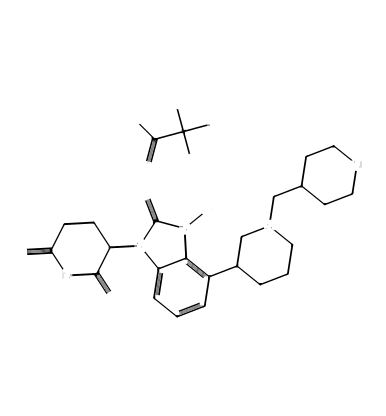 Cn1c(=O)n(C2CCC(=O)NC2=O)c2cccc(C3CCCN(CC4CCNCC4)C3)c21.O=C(O)C(F)(F)F